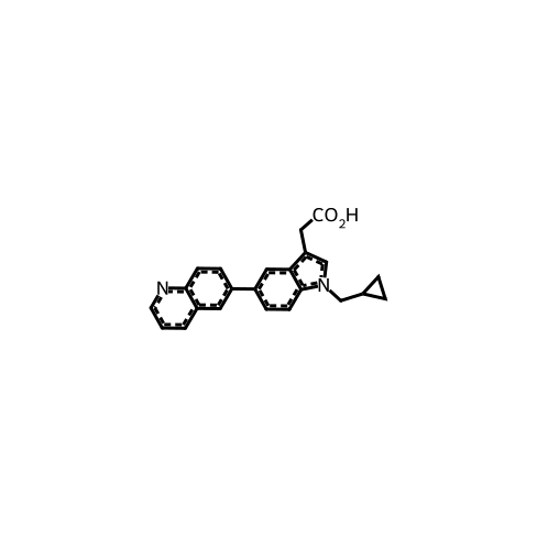 O=C(O)Cc1cn(CC2CC2)c2ccc(-c3ccc4ncccc4c3)cc12